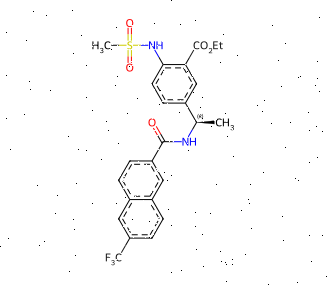 CCOC(=O)c1cc([C@@H](C)NC(=O)c2ccc3cc(C(F)(F)F)ccc3c2)ccc1NS(C)(=O)=O